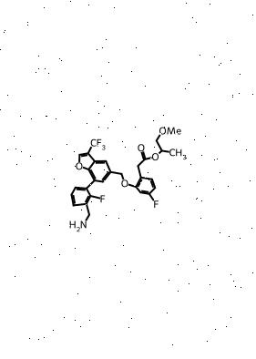 COCC(C)OC(=O)Cc1ccc(F)cc1OCc1cc(-c2cccc(CN)c2F)c2occ(C(F)(F)F)c2c1